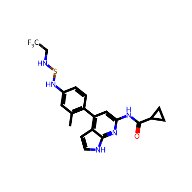 Cc1cc(NSNCC(F)(F)F)ccc1-c1cc(NC(=O)C2CC2)nc2[nH]ccc12